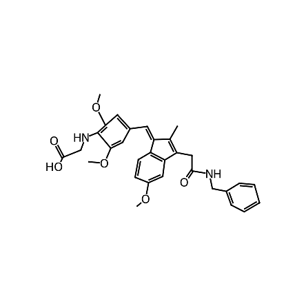 COc1ccc2c(c1)C(CC(=O)NCc1ccccc1)=C(C)/C2=C/c1cc(OC)c(NCC(=O)O)c(OC)c1